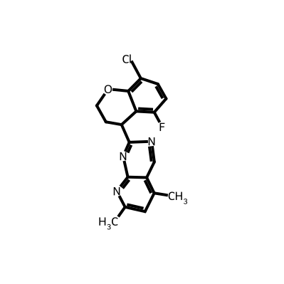 Cc1cc(C)c2cnc(C3CCOc4c(Cl)ccc(F)c43)nc2n1